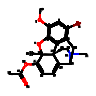 COc1cc(Br)c2c3c1O[C@@H]1C(OC(C)=O)=CC=C4C(C2)N(C)CC[C@@]431